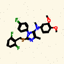 COc1ccc(N(C)c2c(C)nc(SCc3c(F)cccc3F)n2-c2ccc(F)cc2)cc1OC